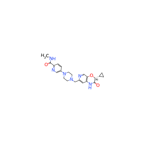 CNC(=O)c1ccc(N2CCN(Cc3cc4c(cn3)O[C@H](C3CC3)C(=O)N4)CC2)cn1